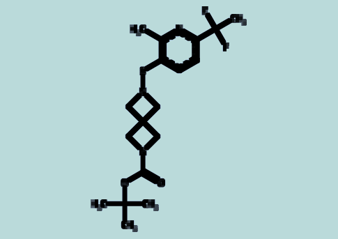 Cc1nc(C(C)(F)F)ccc1SN1CC2(C1)CN(C(=O)OC(C)(C)C)C2